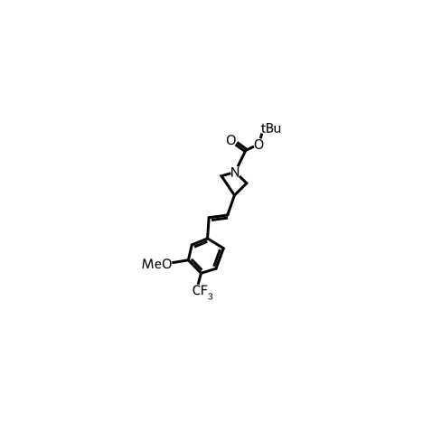 COc1cc(/C=C/C2CN(C(=O)OC(C)(C)C)C2)ccc1C(F)(F)F